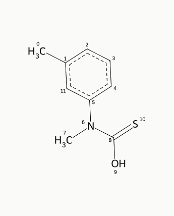 Cc1cccc(N(C)C(O)=S)c1